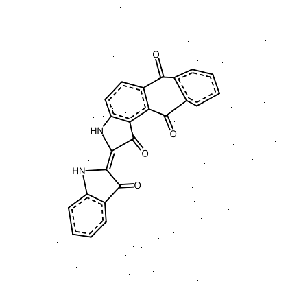 O=C1/C(=C2/Nc3ccc4c(c3C2=O)C(=O)c2ccccc2C4=O)Nc2ccccc21